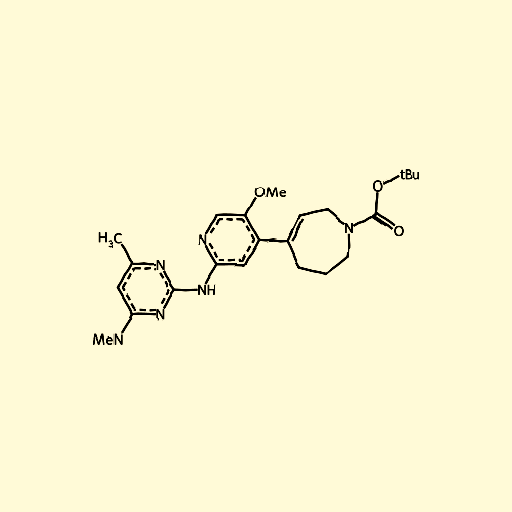 CNc1cc(C)nc(Nc2cc(C3=CCN(C(=O)OC(C)(C)C)CCC3)c(OC)cn2)n1